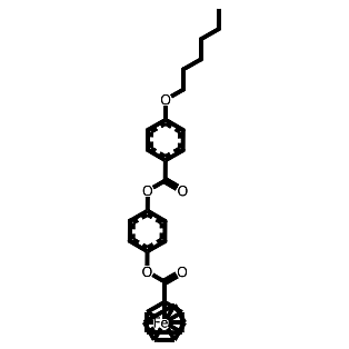 CCCCCCOc1ccc(C(=O)Oc2ccc(OC(=O)[C]34[CH]5[CH]6[CH]7[CH]3[Fe]6754389%10[CH]4[CH]3[CH]8[CH]9[CH]4%10)cc2)cc1